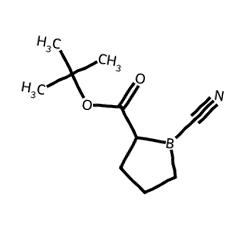 CC(C)(C)OC(=O)C1CCCB1C#N